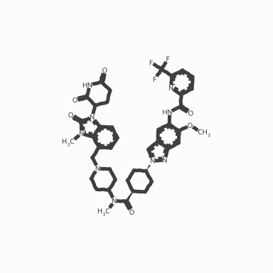 COc1cc2nn([C@H]3CC[C@H](C(=O)N(C)C4CCN(Cc5cccc6c5n(C)c(=O)n6C5CCC(=O)NC5=O)CC4)CC3)cc2cc1NC(=O)c1cccc(C(F)(F)F)n1